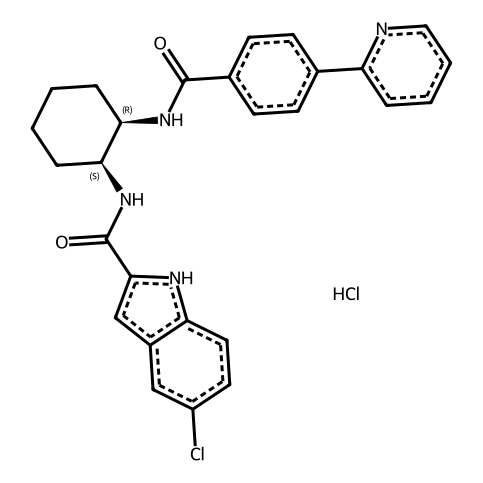 Cl.O=C(N[C@@H]1CCCC[C@@H]1NC(=O)c1cc2cc(Cl)ccc2[nH]1)c1ccc(-c2ccccn2)cc1